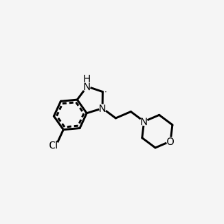 Clc1ccc2c(c1)N(CCN1CCOCC1)[CH]N2